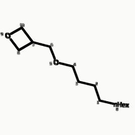 CCCCCCCCCCOCC1COC1